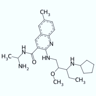 CCC(NC1CCCC1)C(CNc1nc2ccc(C)cc2cc1C(=O)NC(C)N)OC